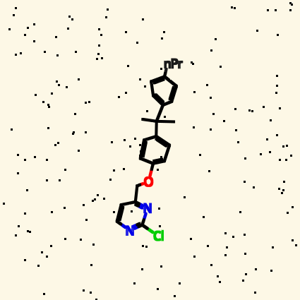 CCCc1ccc(C(C)(C)c2ccc(OCc3ccnc(Cl)n3)cc2)cc1